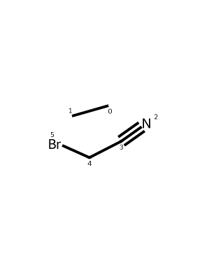 CC.N#CCBr